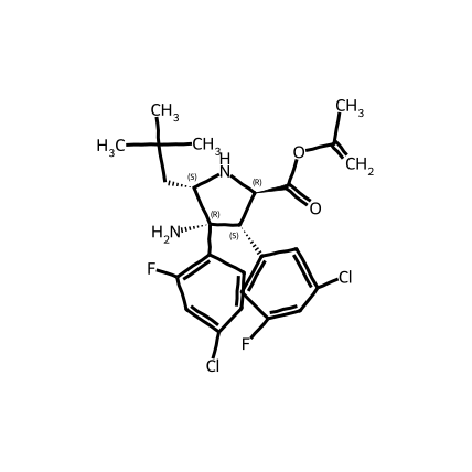 C=C(C)OC(=O)[C@@H]1N[C@@H](CC(C)(C)C)[C@](N)(c2ccc(Cl)cc2F)[C@H]1c1cc(F)cc(Cl)c1